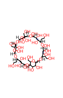 OCC[C@H]1O[C@H]2OC(CO)[C@@H](O[C@@H](O)/C(O)=C(\O)[C@@H](CCO)O[C@H]3OC(CO)[C@@H](O[C@H]4OC(CO)[C@@H](O[C@@H](O)/C(O)=C(\O)[C@@H](CCO)O[C@@H](O)/C(O)=C\1O)C(O)C4O)C(O)C3O)C(O)C2O